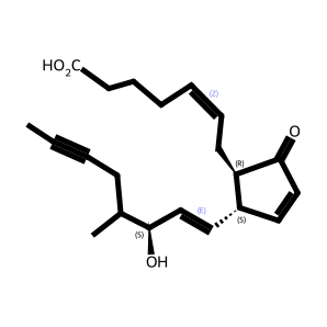 CC#CCC(C)[C@H](O)/C=C/[C@H]1C=CC(=O)[C@@H]1C/C=C\CCCC(=O)O